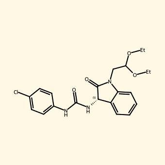 CCOC(CN1C(=O)[C@@H](NC(=O)Nc2ccc(Cl)cc2)c2ccccc21)OCC